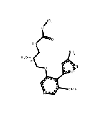 COc1cncc(OC[C@H](C)CNC(=O)OC(C)(C)C)c1-c1cc(N)n[nH]1